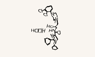 Cl.Cl.O=C(NCC(O)CN1CCN(c2cccc(Cl)c2Cl)CC1)c1cn(-c2ccccc2)c(-c2ccccc2)n1